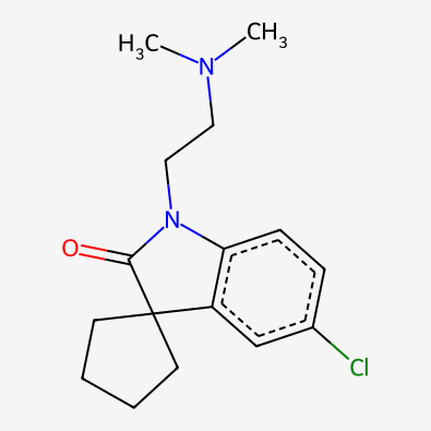 CN(C)CCN1C(=O)C2(CCCC2)c2cc(Cl)ccc21